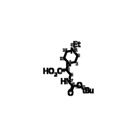 CCN1CCN(C(CNC(=O)OC(C)(C)C)C(=O)O)CC1